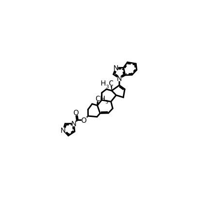 CC12CC[C@H](OC(=O)n3ccnc3)CC1=CCC1C2CC[C@]2(C)C(n3cnc4ccccc43)=CCC12